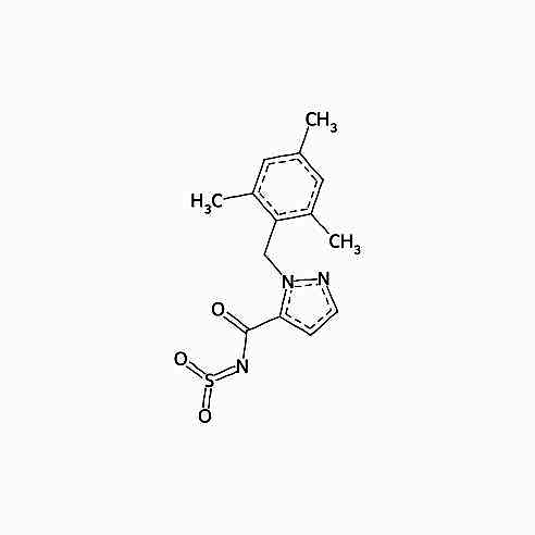 Cc1cc(C)c(Cn2nccc2C(=O)N=S(=O)=O)c(C)c1